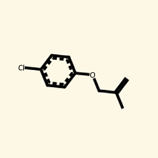 C=C(C)COc1ccc(Cl)cc1